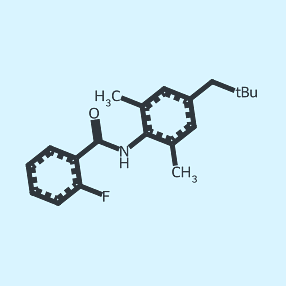 Cc1cc(CC(C)(C)C)cc(C)c1NC(=O)c1ccccc1F